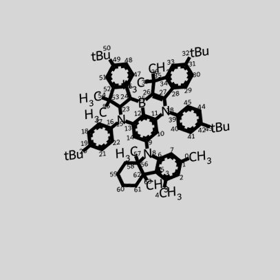 Cc1cc(C)c2c(c1)N(c1cc3c4c(c1)N(c1ccc(C(C)(C)C)cc1)C1C(B4C4=C(c5ccc(C(C)(C)C)cc5C4(C)C)N3c3ccc(C(C)(C)C)cc3)c3ccc(C(C)(C)C)cc3C1(C)C)C1(C)CCCCC21C